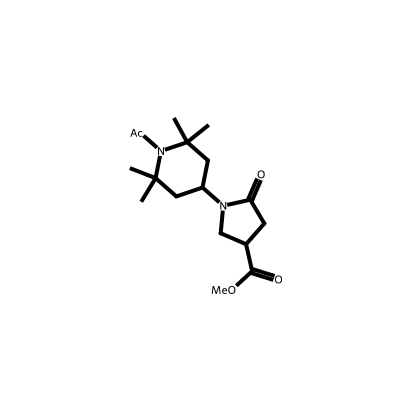 COC(=O)C1CC(=O)N(C2CC(C)(C)N(C(C)=O)C(C)(C)C2)C1